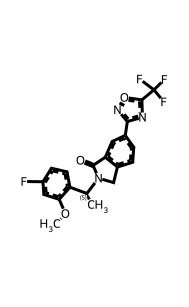 COc1cc(F)ccc1[C@H](C)N1Cc2ccc(-c3noc(C(F)(F)F)n3)cc2C1=O